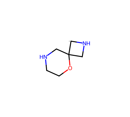 [CH]1NCC12CNCCO2